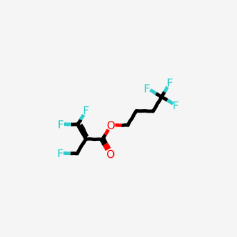 O=C(OCCCC(F)(F)F)C(CF)=C(F)F